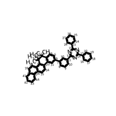 CC1(C)c2ccc(-c3cccc(-c4nc(-c5ccccc5)nc(-c5ccccc5)n4)c3)cc2-c2ccc3c(ccc4ccccc43)c2C1(C)C